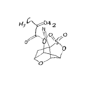 C=C(C)C(=O)OC1C2CC3(C#N)C(O2)C1OS3(=O)=O